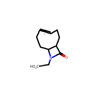 O=C(O)CN1C(=O)C2CC/C=C/CCC21